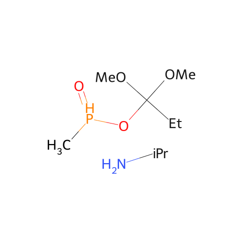 CC(C)N.CCC(OC)(OC)O[PH](C)=O